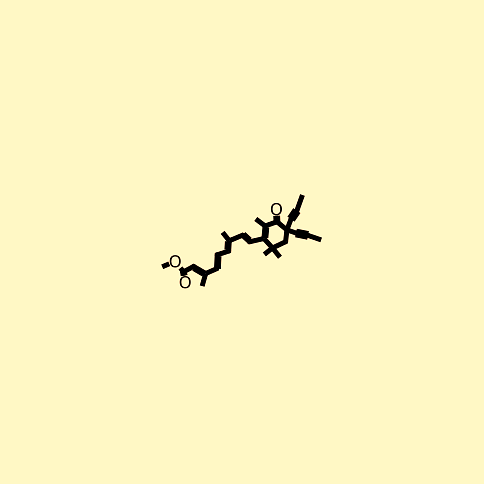 CC#CC1(C#CC)CC(C)(C)C(C=CC(C)=CC=CC(C)=CC(=O)OC)=C(C)C1=O